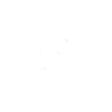 CC(=O)C1N(C(N)=O)CC2CC21N